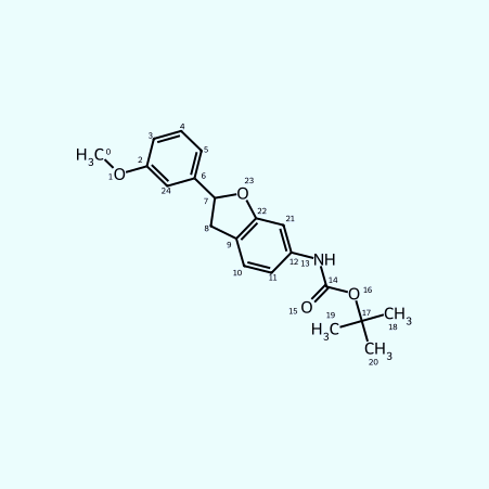 COc1cccc(C2Cc3ccc(NC(=O)OC(C)(C)C)cc3O2)c1